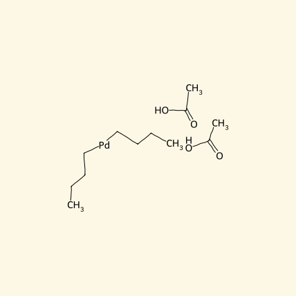 CC(=O)O.CC(=O)O.CCC[CH2][Pd][CH2]CCC